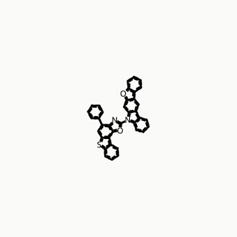 c1ccc(-c2cc3sc4ccccc4c3c3oc(-n4c5ccccc5c5cc6c(cc54)oc4ccccc46)nc23)cc1